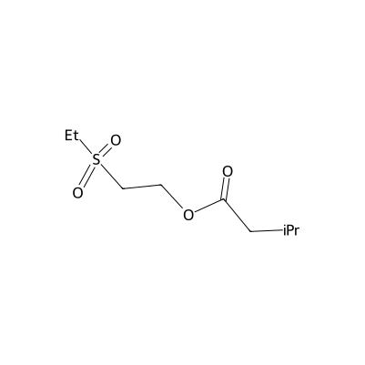 CCS(=O)(=O)CCOC(=O)CC(C)C